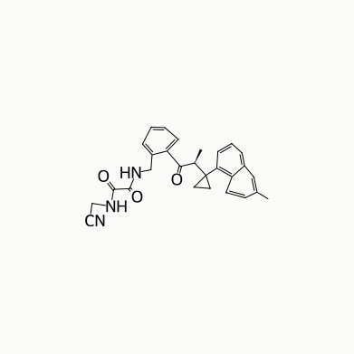 Cc1ccc2c(C3([C@H](C)C(=O)c4ccccc4CNC(=O)C(=O)NCC#N)CC3)cccc2c1